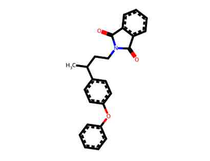 CC(CCN1C(=O)c2ccccc2C1=O)c1ccc(Oc2ccccc2)cc1